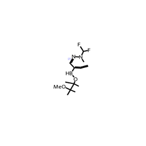 C=C=C(BOC(C)(C)C(C)(C)OC)/C=N\N(C)C(F)F